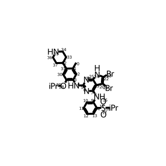 Cc1cc(Nc2nc(Nc3ccccc3S(=O)(=O)C(C)C)c3c(Br)c(Br)[nH]c3n2)c(OC(C)C)cc1C1CCNCC1